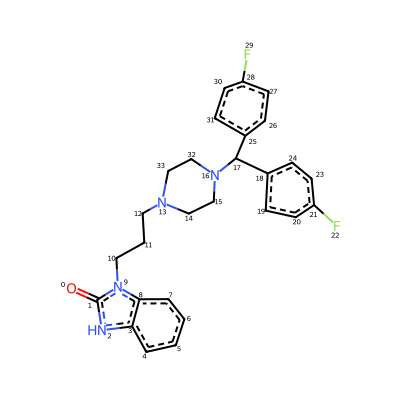 O=c1[nH]c2ccccc2n1CCCN1CCN(C(c2ccc(F)cc2)c2ccc(F)cc2)CC1